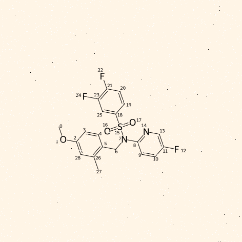 COc1ccc(CN(c2ccc(F)cn2)S(=O)(=O)c2ccc(F)c(F)c2)c(C)c1